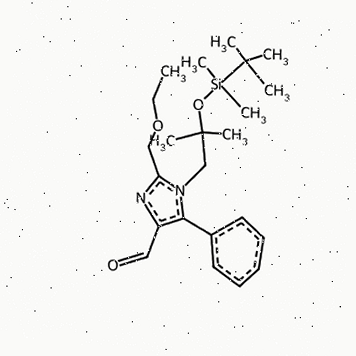 CCOCc1nc(C=O)c(-c2ccccc2)n1CC(C)(C)O[Si](C)(C)C(C)(C)C